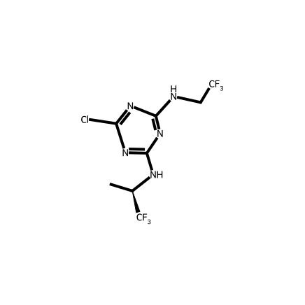 C[C@@H](Nc1nc(Cl)nc(NCC(F)(F)F)n1)C(F)(F)F